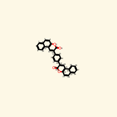 O=c1oc2ccc3ccccc3c2cc1-c1ccc(-c2cc3c(ccc4ccccc43)oc2=O)cc1